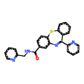 O=C(NCc1ccccn1)c1ccc2c(c1)N=C(c1ccccn1)c1ccccc1S2